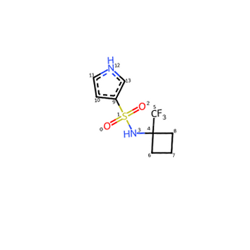 O=S(=O)(NC1(C(F)(F)F)CCC1)c1cc[nH]c1